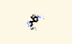 C=Cc1cc(N)ccc1-c1cnnc(C)c1